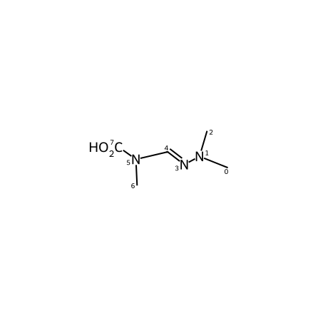 CN(C)N=CN(C)C(=O)O